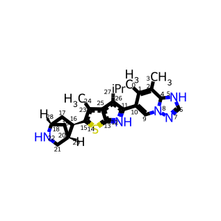 CC1=C(C)C2NC=NN2C=C1c1[nH]c2sc([C@@H]3C[C@@H]4C[C@H]3CN4)c(C)c2c1C(C)C